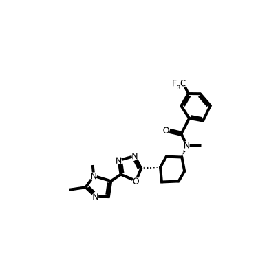 Cc1ncc(-c2nnc([C@H]3CCC[C@@H](N(C)C(=O)c4cccc(C(F)(F)F)c4)C3)o2)n1C